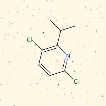 CC(C)c1nc(Cl)ccc1Cl